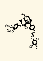 COc1ccc(CN(C(=O)C2=C(c3ccc(OCCOc4cc(Cl)c(Cl)cc4Cl)cc3)CC3CN(C(C)=O)CC2N3)C2CC2)cc1OC